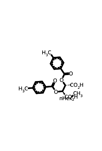 CCCCCCC.Cc1ccc(C(=O)O[C@H](C(=O)O)[C@H](OC(=O)c2ccc(C)cc2)C(=O)O)cc1